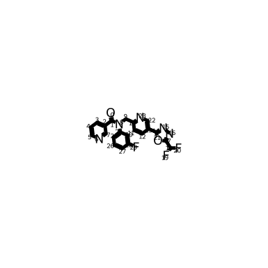 O=C(c1cccnc1)N(Cc1ccc(-c2nnc(C(F)F)o2)cn1)c1cccc(F)c1